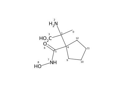 CC(N)(C(=O)O)C1(C(=O)NO)CCCC1